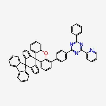 c1ccc(-c2nc(-c3ccc(-c4cccc5c4Oc4ccccc4C54c5ccccc5C5(c6ccccc6-c6ccccc65)c5ccccc54)cc3)nc(-c3ccccn3)n2)cc1